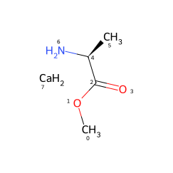 COC(=O)[C@H](C)N.[CaH2]